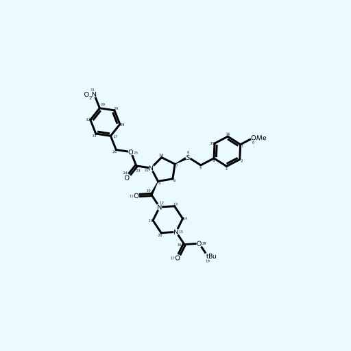 COc1ccc(CS[C@H]2C[C@@H](C(=O)N3CCN(C(=O)OC(C)(C)C)CC3)N(C(=O)OCc3ccc([N+](=O)[O-])cc3)C2)cc1